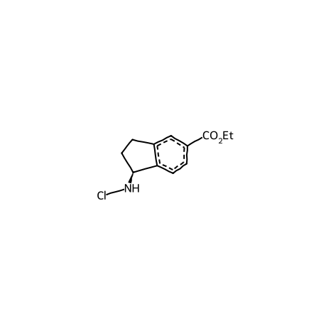 CCOC(=O)c1ccc2c(c1)CC[C@@H]2NCl